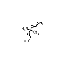 CCO[Si](C)(N)OCC